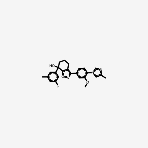 COc1cc(-c2noc3c2CCCC3(O)c2cc(C)cc(F)c2)ccc1-n1cnc(C)c1